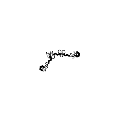 N=C(CCC(=O)OC(=O)CCCSSc1ccccn1)OC(=O)CCCSSc1ccccn1